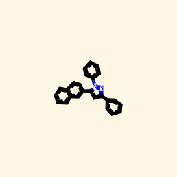 c1ccc(-c2cc(-c3ccc4ccccc4c3)n(-c3ccccc3)n2)cc1